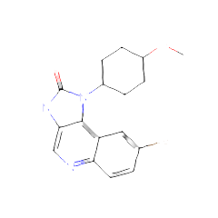 COC1CCC(n2c(=O)[nH]c3cnc4ccc(Br)cc4c32)CC1